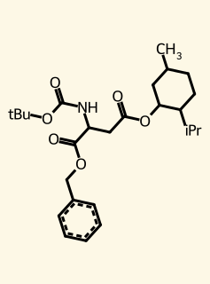 CC1CCC(C(C)C)C(OC(=O)CC(NC(=O)OC(C)(C)C)C(=O)OCc2ccccc2)C1